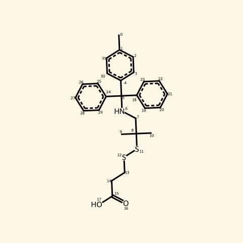 Cc1ccc(C(NCC(C)(C)SSCCC(=O)O)(c2ccccc2)c2ccccc2)cc1